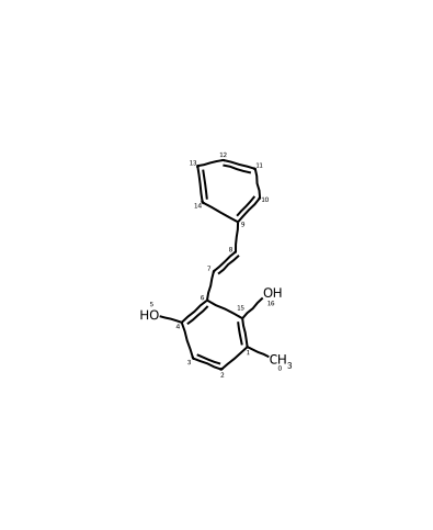 Cc1ccc(O)c(C=Cc2ccccc2)c1O